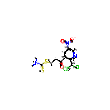 CN(C)C(=S)SCCC(=O)c1cc([N+](=O)[O-])cnc1C(Cl)Cl